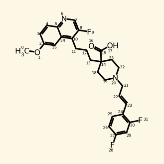 COc1ccc2ncc(F)c(CCCC3(C(=O)O)CCN(CC=Cc4ccc(F)cc4F)CC3)c2c1